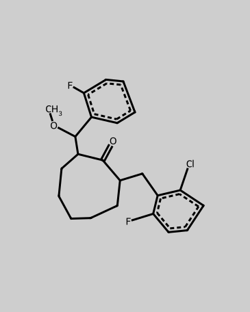 COC(c1ccccc1F)C1CCCCCC(Cc2c(F)cccc2Cl)C1=O